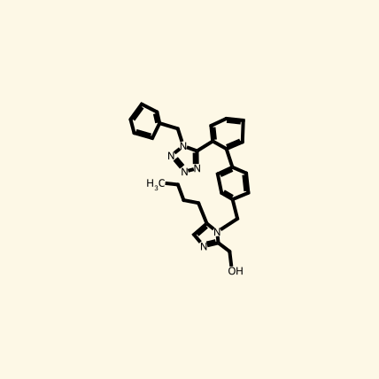 CCCCc1cnc(CO)n1Cc1ccc(-c2ccccc2-c2nnnn2Cc2ccccc2)cc1